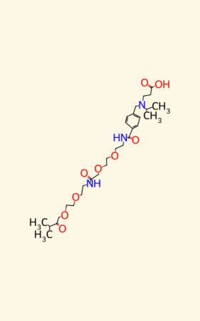 CC(C)C(=O)COCCOCCNC(=O)COCCOCCNC(=O)c1ccc(CN(CCC(=O)O)C(C)C)cc1